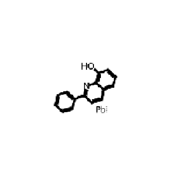 Oc1cccc2ccc(-c3ccccc3)nc12.[Pb]